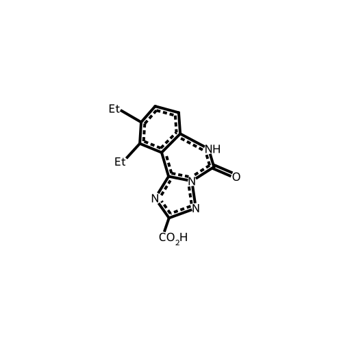 CCc1ccc2[nH]c(=O)n3nc(C(=O)O)nc3c2c1CC